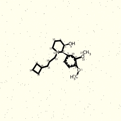 COc1ccc([C@@H]2[C@H](O)CCCN2CCCC2CCC2)cc1OC